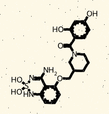 NC1=NS(O)(O)Nc2cccc(OCC3CCCN(C(=O)c4ccc(O)cc4O)C3)c21